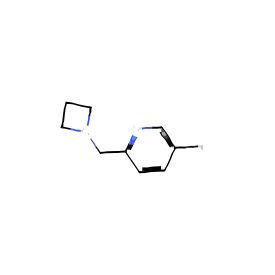 CC(C)c1ccc(CN2CCC2)nc1